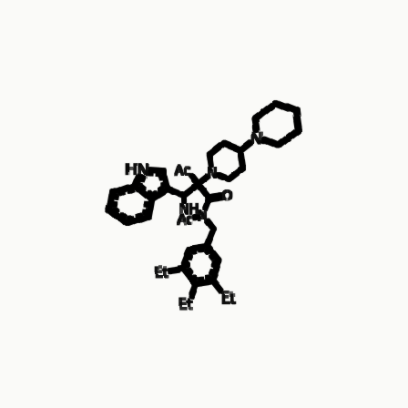 CCc1cc(CN(C(C)=O)C(=O)C(C(C)=O)(C(N)c2c[nH]c3ccccc23)N2CCC(N3CCCCC3)CC2)cc(CC)c1CC